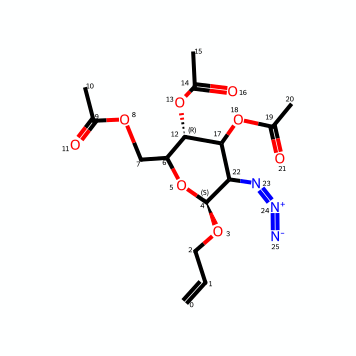 C=CCO[C@H]1OC(COC(C)=O)[C@H](OC(C)=O)C(OC(C)=O)C1N=[N+]=[N-]